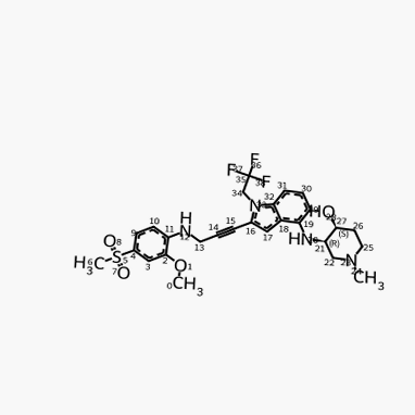 COc1cc(S(C)(=O)=O)ccc1NCC#Cc1cc2c(N[C@@H]3CN(C)CC[C@@H]3O)cccc2n1CC(F)(F)F